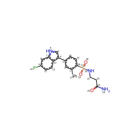 CC(C)c1cc(-c2c[nH]c3cc(F)ccc23)ccc1S(=O)(=O)NCCC(N)=O